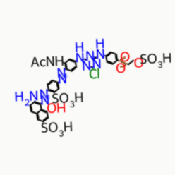 CC(=O)Nc1cc(Nc2nc(Cl)nc(Nc3ccc(S(=O)(=O)CCOS(=O)(=O)O)cc3)n2)ccc1/N=N/c1ccc(/N=N/c2c(N)ccc3cc(S(=O)(=O)O)cc(O)c23)c(S(=O)(=O)O)c1